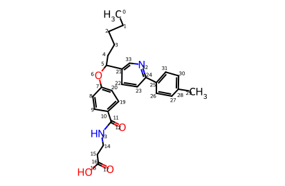 CCCCCC(Oc1ccc(C(=O)NCCC(=O)O)cc1)c1ccc(-c2ccc(C)cc2)nc1